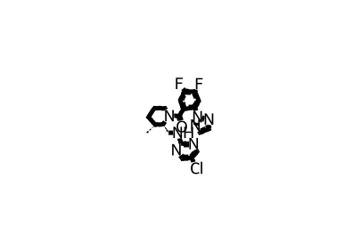 C[C@@H]1CCCN(C(=O)c2cc(F)c(F)cc2-n2nccn2)[C@@H]1CNc1ncc(Cl)cn1